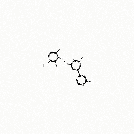 Cc1cc(-c2cccc(F)c2)cc(CNc2c(C)ccc(O)c2C)c1F